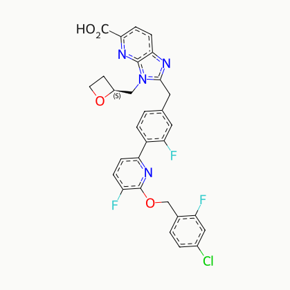 O=C(O)c1ccc2nc(Cc3ccc(-c4ccc(F)c(OCc5ccc(Cl)cc5F)n4)c(F)c3)n(C[C@@H]3CCO3)c2n1